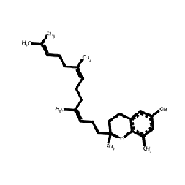 CC(C)=CCCC(C)=CCCC(C)=CCCC1(C)CCc2cc(O)cc(C)c2O1